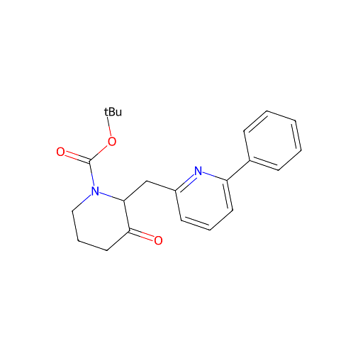 CC(C)(C)OC(=O)N1CCCC(=O)C1Cc1cccc(-c2ccccc2)n1